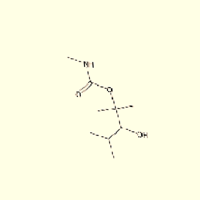 CNC(=O)OC(C)(C)C(O)C(C)C